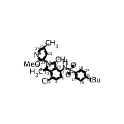 C=c1c2c(Cl)ccc(NS(=O)(=O)c3ccc(C(C)(C)C)cc3)c2c(=C)n1-c1cc(C)cnc1OC